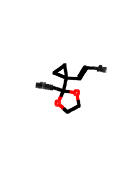 CCCCCCC1(C2(C=CC(C)=O)CC2)OCCO1